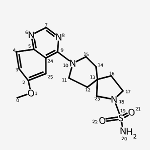 COc1ccc2ncnc(N3CCC4(CC3)CCN(S(N)(=O)=O)C4)c2c1